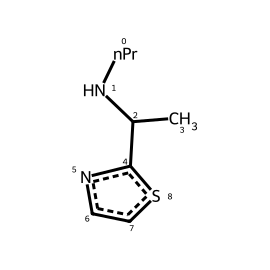 CCCNC(C)c1nccs1